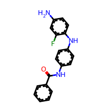 Nc1ccc(Nc2ccc(NC(=O)c3ccccc3)cc2)c(F)c1